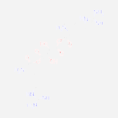 N=C(N)NCCC[C@H](N)C(=O)OC(=O)C(O)C(O)C(=O)OC(=O)[C@@H](N)CCCNC(=N)N